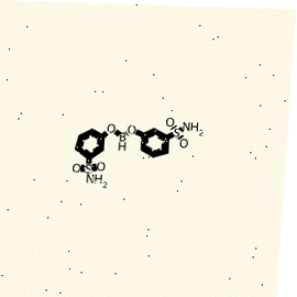 NS(=O)(=O)c1cccc(OBOc2cccc(S(N)(=O)=O)c2)c1